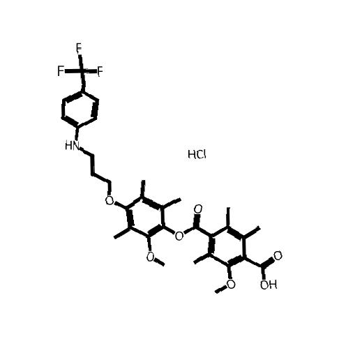 COc1c(C)c(OCCCNc2ccc(C(F)(F)F)cc2)c(C)c(C)c1OC(=O)c1c(C)c(C)c(C(=O)O)c(OC)c1C.Cl